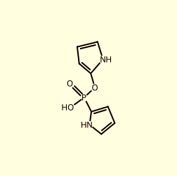 O=P(O)(Oc1ccc[nH]1)c1ccc[nH]1